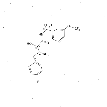 N[C@H](Cc1ccc(F)cc1)[C@H](O)C(=O)N[C@H](C(=O)O)c1cccc(OC(F)(F)F)c1